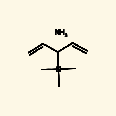 C=CC(C=C)[Si](C)(C)C.N